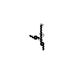 CCCCc1ccc(COC(CCC(=O)OCCCCCCBr)OCc2ccc(CCCC)cc2)cc1